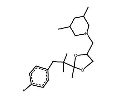 CC1CC(C)CN(CC2COC(C)(C(C)(C)Cc3ccc(F)cc3)O2)C1